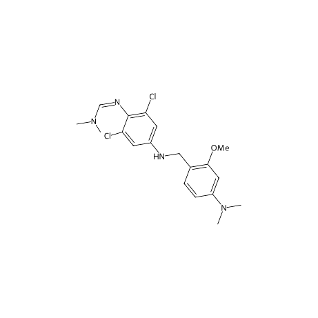 COc1cc(N(C)C)ccc1CNc1cc(Cl)c(/N=C\N(C)C)c(Cl)c1